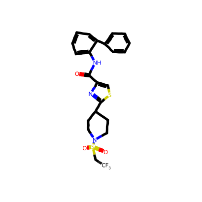 O=C(Nc1ccccc1-c1ccccc1)c1csc(C2CCN(S(=O)(=O)CC(F)(F)F)CC2)n1